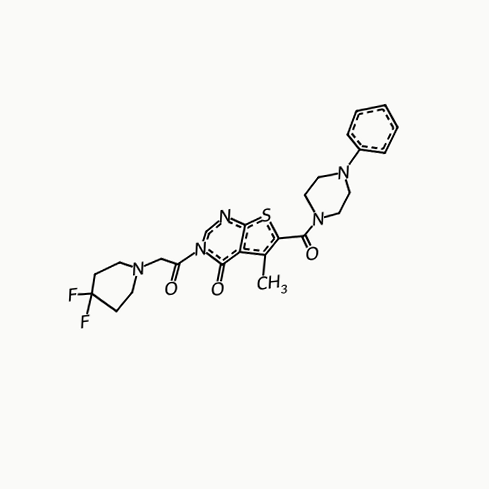 Cc1c(C(=O)N2CCN(c3ccccc3)CC2)sc2ncn(C(=O)CN3CCC(F)(F)CC3)c(=O)c12